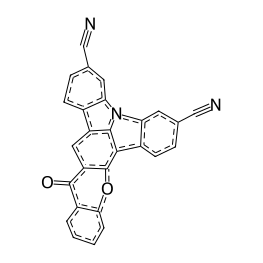 N#Cc1ccc2c3cc4c(=O)c5ccccc5oc4c4c5ccc(C#N)cc5n(c2c1)c34